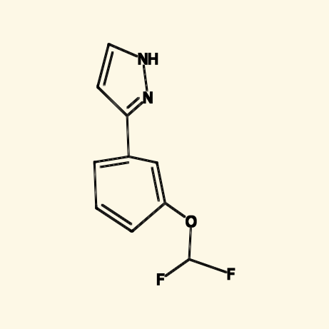 FC(F)Oc1cccc(-c2cc[nH]n2)c1